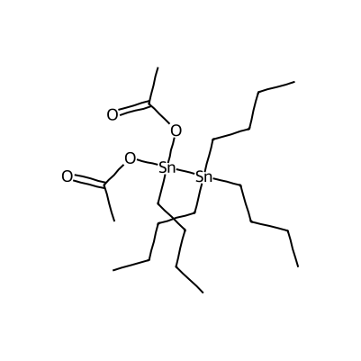 CCC[CH2][Sn]([CH2]CCC)([CH2]CCC)[Sn]([CH2]CCC)([O]C(C)=O)[O]C(C)=O